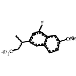 COc1ccc2cc(C(C)CC(=O)O)cc(F)c2c1